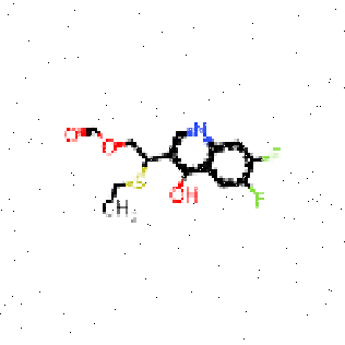 CCSC(COC=O)c1cnc2cc(F)c(F)cc2c1O